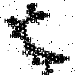 C\C(=C/C=C/C(C)=[N+](\CCCS(=O)(=O)O)c1ccc2cc(CNC(=O)CCCCC\C(=C/C=C/C(C)=[N+](\CCCS(=O)(=O)O)c3ccc(S(=O)(=O)O)cc3C)N(CCCS(=O)(=O)O)c3ccc(S(=O)(=O)O)cc3C)ccc2c1C)N(CCCCCC(=O)O)c1ccc2cc(S(=O)(=O)O)ccc2c1C